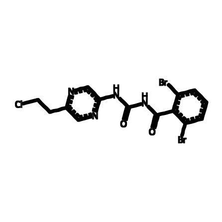 O=C(NC(=O)c1c(Br)cccc1Br)Nc1cnc(CCCl)cn1